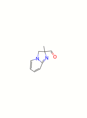 CC1(C=O)CN2C=CC=CC2=N1